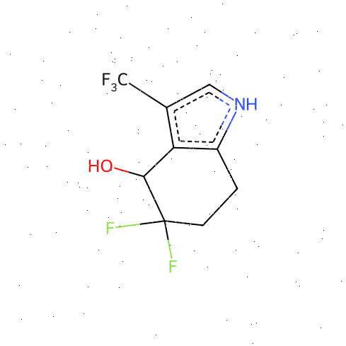 OC1c2c(C(F)(F)F)c[nH]c2CCC1(F)F